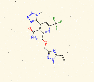 C=Cc1nc(COCc2nc(C(F)(F)F)cc(-c3nnnn3C)c2C(N)=O)nn1C